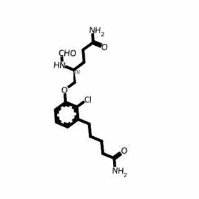 NC(=O)CCCCc1cccc(OC[C@H](CCC(N)=O)NC=O)c1Cl